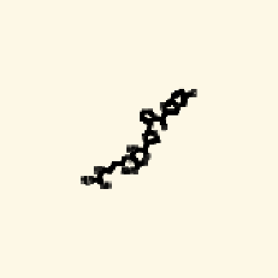 CNC(=O)[C@H](CCCCNC(=N)N)NC(=O)c1csc([C@H]2CCCN2C(=O)c2cn3cc(Cl)ccc3n2)n1